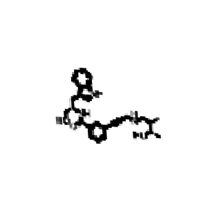 C[C@H](CNCC#Cc1cccc(C(=O)N[C@@H](CO)Cc2c[nH]c3ccccc23)c1)[C@@H](C)O